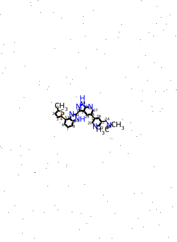 Cc1ccc(-c2cccc3[nH]c(-c4n[nH]c5ncc(-c6cncc(CN(C)C)c6)cc45)nc23)s1